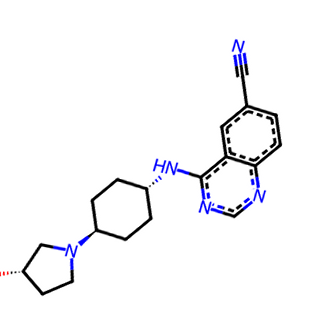 N#Cc1ccc2ncnc(N[C@H]3CC[C@H](N4CC[C@H](O)C4)CC3)c2c1